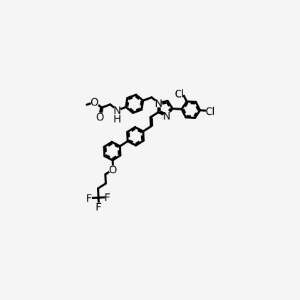 COC(=O)CNc1ccc(Cn2cc(-c3ccc(Cl)cc3Cl)nc2C=Cc2ccc(-c3cccc(OCCCC(F)(F)F)c3)cc2)cc1